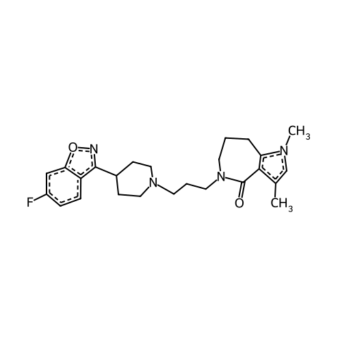 Cc1cn(C)c2c1C(=O)N(CCCN1CCC(c3noc4cc(F)ccc34)CC1)CCC2